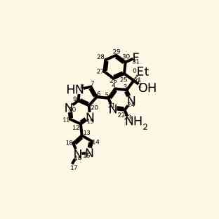 CC[C@](O)(c1cc(-c2c[nH]c3ncc(-c4cnn(C)c4)nc23)nc(N)n1)c1ccccc1F